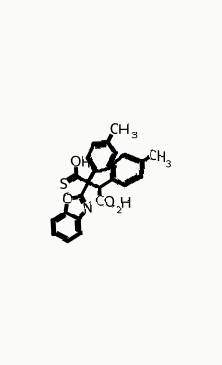 Cc1ccc(C(C(=O)O)C(C(O)=S)(c2ccc(C)cc2)c2nc3ccccc3o2)cc1